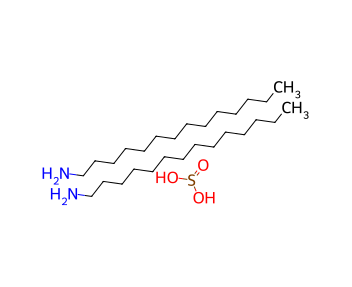 CCCCCCCCCCCCCCN.CCCCCCCCCCCCCCN.O=S(O)O